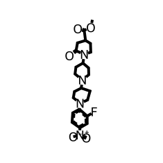 COC(=O)C1CCN(C2CCN(C3CCN(c4ccc([N+](=O)[O-])cc4F)CC3)CC2)C(=O)C1